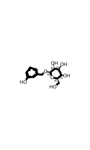 OC[C@H]1O[C@@H](OCc2cccc(O)c2)[C@H](O)[C@@H](O)[C@@H]1O